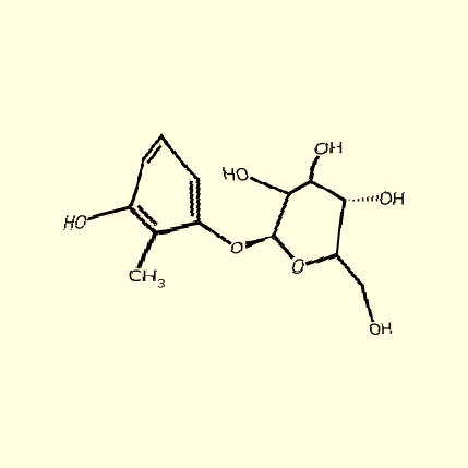 Cc1c(O)cccc1O[C@@H]1OC(CO)[C@@H](O)C(O)C1O